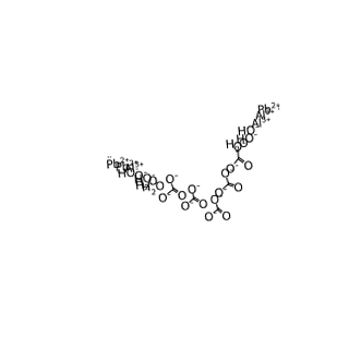 O.O.O.O=C([O-])[O-].O=C([O-])[O-].O=C([O-])[O-].O=C([O-])[O-].O=C([O-])[O-].[Al+3].[Al+3].[Al+3].[OH-].[OH-].[OH-].[OH-].[OH-].[Pb+2].[Pb+2].[Pb+2]